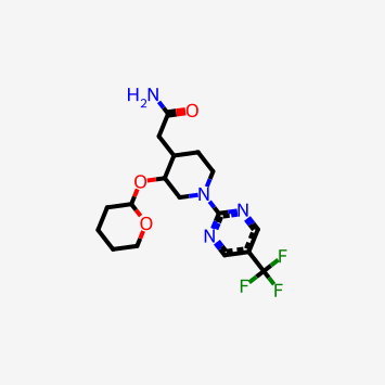 NC(=O)CC1CCN(c2ncc(C(F)(F)F)cn2)CC1OC1CCCCO1